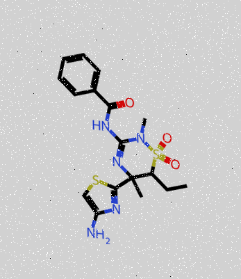 CCC1C(C)(c2nc(N)cs2)N=C(NC(=O)c2ccccc2)N(C)S1(=O)=O